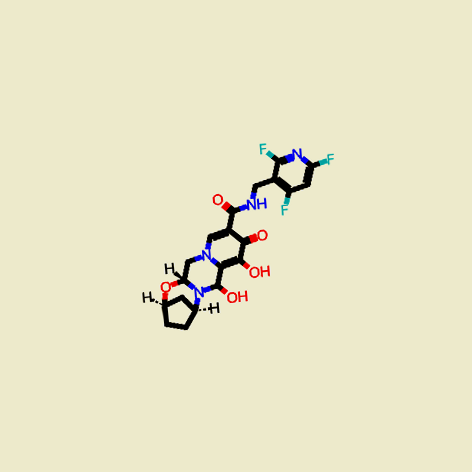 O=C(NCc1c(F)cc(F)nc1F)c1cn2c(c(O)c1=O)C(O)N1[C@H]3CC[C@H](C3)O[C@@H]1C2